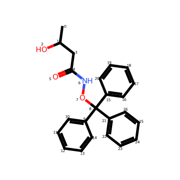 CC(O)CC(=O)NOC(c1ccccc1)(c1ccccc1)c1ccccc1